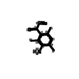 COC(=O)c1c(C)cc(C)c(N)c1C